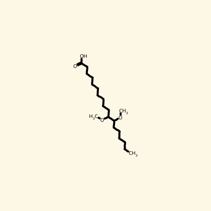 CCCCCCC(OC)C(CCCCCCCCCC(=O)O)OC